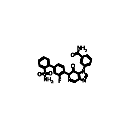 NC(=O)c1cccc(-n2cnc3c2C(=O)C(c2ccc(-c4ccccc4S(N)(=O)=O)cc2F)N=C3)c1